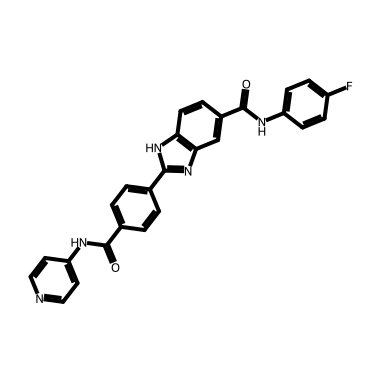 O=C(Nc1ccncc1)c1ccc(-c2nc3cc(C(=O)Nc4ccc(F)cc4)ccc3[nH]2)cc1